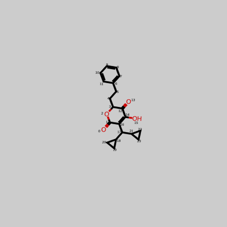 O=C1OC(CCc2ccccc2)C(=O)C(O)=C1C(C1CC1)C1CC1